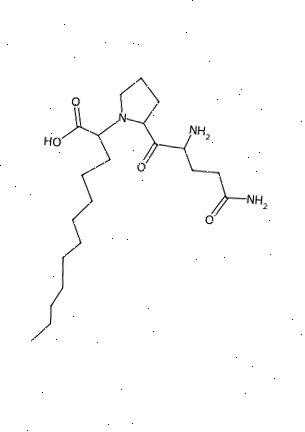 CCCCCCCCCCC(C(=O)O)N1CCCC1C(=O)C(N)CCC(N)=O